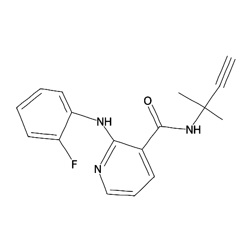 C#CC(C)(C)NC(=O)c1cccnc1Nc1ccccc1F